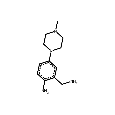 CN1CCN(c2ccc(N)c(CN)c2)CC1